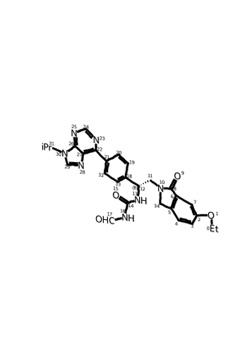 CCOc1ccc2c(c1)C(=O)N(C[C@H](NC(=O)NC=O)c1ccc(-c3ncnc4c3ncn4C(C)C)cc1)C2